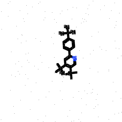 [2H]C([2H])([2H])c1ccc(-c2cc(C([2H])(C)C)c([Si](C)(C)C)cn2)cc1